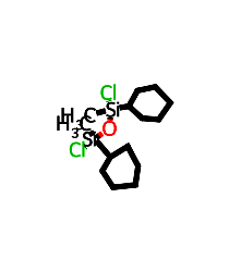 C[Si](Cl)(O[Si](C)(Cl)C1CCCCC1)C1CCCCC1